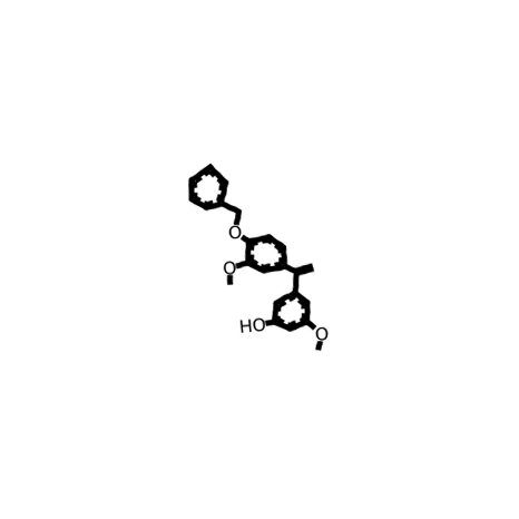 C=C(c1cc(O)cc(OC)c1)c1ccc(OCc2ccccc2)c(OC)c1